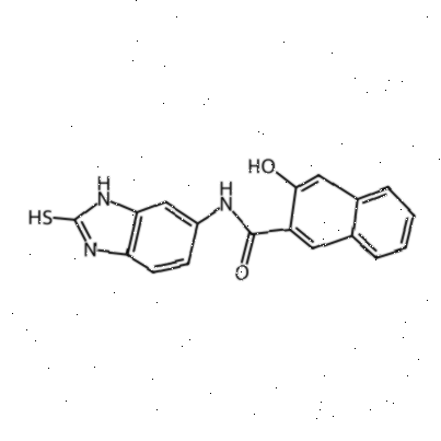 O=C(Nc1ccc2nc(S)[nH]c2c1)c1cc2ccccc2cc1O